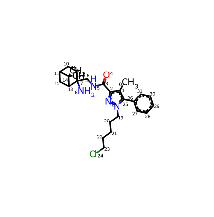 Cc1c(C(=O)NCC2(N)CCC3CC2C3(C)C)nn(CCCCCCl)c1-c1ccccc1